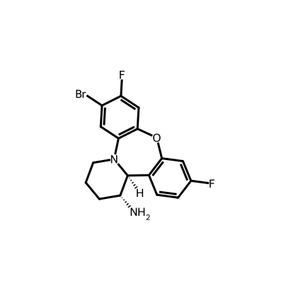 N[C@@H]1CCCN2c3cc(Br)c(F)cc3Oc3cc(F)ccc3[C@@H]12